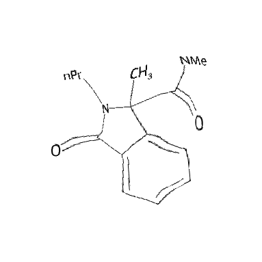 CCCN1C(=O)c2ccccc2C1(C)C(=O)NC